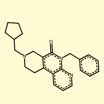 O=c1c2c(c3cccnc3n1Cc1ccccc1)CCN(CC1CCCC1)C2